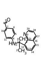 CC(C)(Nc1ccc(C=O)cc1)c1cccc2cccnc12